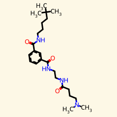 CN(C)CCCC(=O)NCCNC(=O)c1cccc(C(=O)NCCCCC(C)(C)C)c1